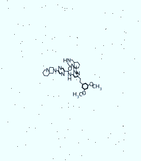 C1CCN2CCNCC2C1.COc1cc(CCc2cc(NC(=O)c3cnc(N4CCN5CCCCC5C4)cn3)[nH]n2)cc(OC)c1